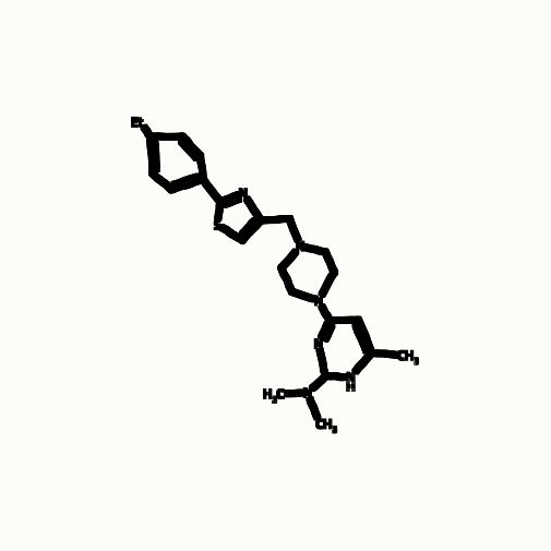 CCc1ccc(-c2nc(CN3CCN(C4=NC(N(C)C)NC(C)=C4)CC3)cs2)cc1